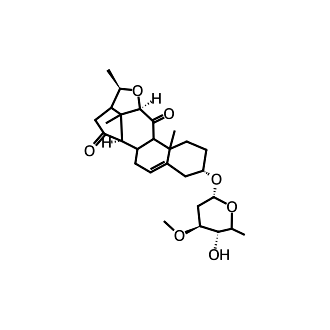 CO[C@H]1C[C@H](O[C@H]2CCC3(C)C(=CCC4C3C(=O)[C@@H]3O[C@H](C)C5CC(=O)[C@H]4C53C)C2)OC(C)[C@@H]1O